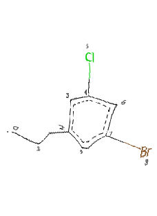 [CH2]Cc1cc(Cl)cc(Br)c1